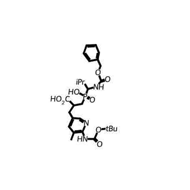 Cc1cc(CC(CP(=O)(O)C(NC(=O)OCc2ccccc2)C(C)C)C(=O)O)cnc1NC(=O)OC(C)(C)C